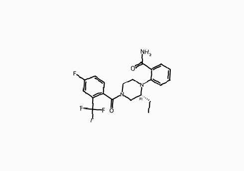 CC[C@@H]1CN(C(=O)c2ccc(F)cc2C(F)(F)F)CCN1c1ccccc1C(N)=O